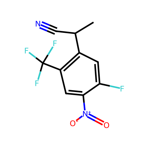 CC(C#N)c1cc(F)c([N+](=O)[O-])cc1C(F)(F)F